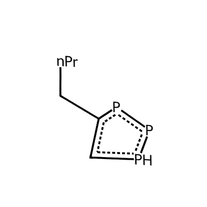 CCCCc1c[pH]pp1